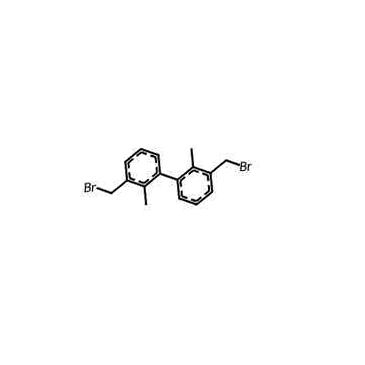 Cc1c(CBr)cccc1-c1cccc(CBr)c1C